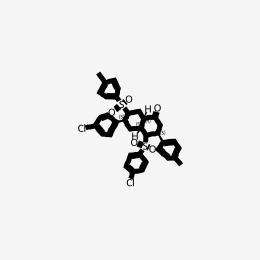 Cc1ccc([C@@H]2CC(=O)[C@@H]3CC(S(=O)(=O)c4ccc(C)cc4)[C@H](c4ccc(Cl)cc4)C[C@@H]3C2S(=O)(=O)c2ccc(Cl)cc2)cc1